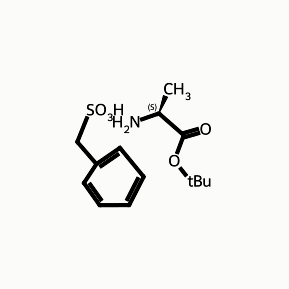 C[C@H](N)C(=O)OC(C)(C)C.O=S(=O)(O)Cc1ccccc1